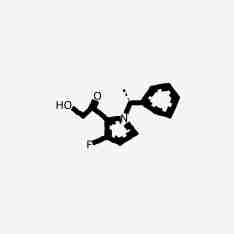 C[C@H](c1ccccc1)n1ccc(F)c1C(=O)CO